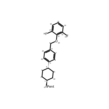 CCCCC[C@H]1CC[C@H](c2ccc(COc3c(F)cccc3F)cc2)CC1